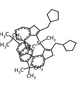 CC(C)(C)c1ccc(-c2cccc3c2C([Si](C)(C)C2=C(CC4CCCC4)[CH]c4cccc(-c5ccc(C(C)(C)C)cc5)c42)=C(CC2CCCC2)[CH]3)cc1